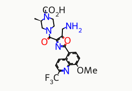 COc1ccc(-c2nc(C(=O)N3CCN(C(=O)O)[C@H](C)C3)c(CN)o2)c2ccc(C(F)(F)F)nc12